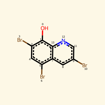 Oc1c(Br)cc(Br)c2cc(Br)cnc12